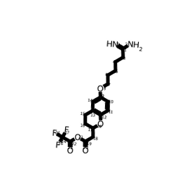 N=C(N)CCCCCOc1ccc2c(c1)CCC(CC(=O)OC(=O)C(F)(F)F)O2